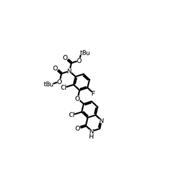 CC(C)(C)OC(=O)N(C(=O)OC(C)(C)C)c1ccc(F)c(Oc2ccc3nc[nH]c(=O)c3c2Cl)c1Cl